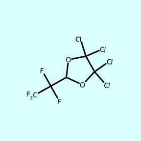 FC(F)(F)C(F)(F)C1OC(Cl)(Cl)C(Cl)(Cl)O1